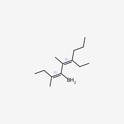 BC(=C(\C)CC)/C(C)=C(\CC)CCC